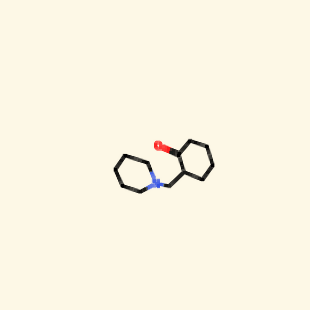 O=C1CCCCC1CN1CCCCC1